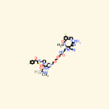 CN[C@H](C)C(=O)N[C@@H](C(=O)N1CCC[C@@H]1C1=NC(C(=O)c2ccc(F)cc2)CS1)C1CCN(CCOCCOCCC(=O)NCCn2nc(C#N)c3c2CN(C)C(=O)c2ccc(F)cc2[C@H]2CCCN2c2cc-3cnc2N)CC1